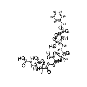 CC(C)(N[C@@H](CCC(=O)O)C(=O)O)C(=O)CC[C@H](NC(C)(C)C(=O)CC[C@H](NC(=O)C(=O)OCc1ccccc1)C(=O)O)C(=O)O